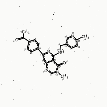 CC(=O)c1ccc(-c2cc3ncn(C)c(=O)c3c(NCc3ccc(C)nc3)n2)cc1